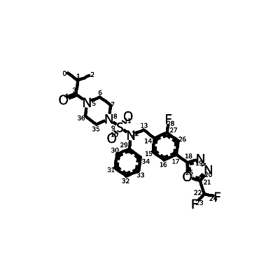 CC(C)C(=O)N1CCN(S(=O)(=O)N(Cc2ccc(-c3nnc(C(F)F)o3)cc2F)c2ccccc2)CC1